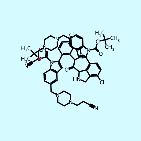 CC(C)(C)OC(=O)n1c(-c2ccc(Cl)c3c2C(C(=O)C2NCc4c(Cl)ccc(-c5cc6cc(CN7CCN(CCC#N)CC7)ccc6n5C(=O)OC(C)(C)C)c42)NC3)cc2cc(CN3CCN(CCC#N)CC3)ccc21